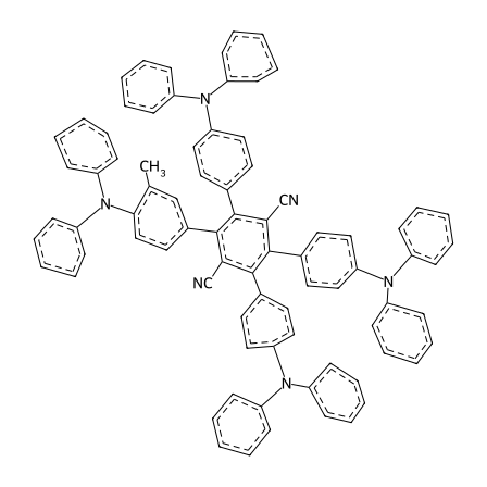 Cc1cc(-c2c(C#N)c(-c3ccc(N(c4ccccc4)c4ccccc4)cc3)c(-c3ccc(N(c4ccccc4)c4ccccc4)cc3)c(C#N)c2-c2ccc(N(c3ccccc3)c3ccccc3)cc2)ccc1N(c1ccccc1)c1ccccc1